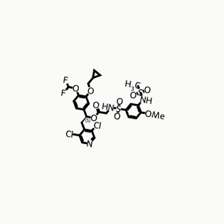 COc1ccc(S(=O)(=O)NCC(=O)O[C@@H](Cc2c(Cl)cncc2Cl)c2ccc(OC(F)F)c(OCC3CC3)c2)cc1NS(C)(=O)=O